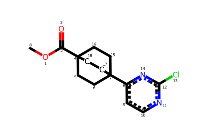 COC(=O)C12CCC(c3ccnc(Cl)n3)(CC1)CC2